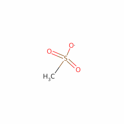 CS([O])(=O)=O